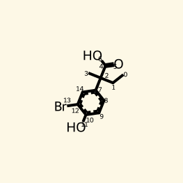 CCC(C)(C(=O)O)c1ccc(O)c(Br)c1